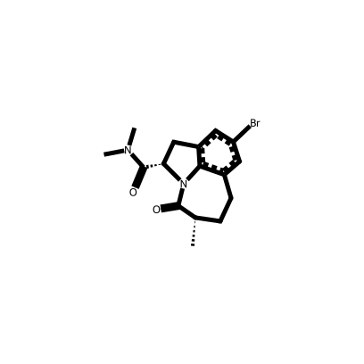 C[C@H]1CCc2cc(Br)cc3c2N(C1=O)[C@H](C(=O)N(C)C)C3